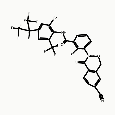 N#Cc1ccc2c(c1)CON(c1cccc(C(=O)Nc3c(Br)cc(C(F)(C(F)(F)F)C(F)(F)F)cc3C(F)(F)F)c1F)C2=O